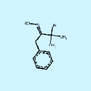 CC(C)C(C)(C)/C(Cc1ccccc1)=N/O